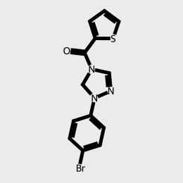 O=C(c1cccs1)N1C=NN(c2ccc(Br)cc2)C1